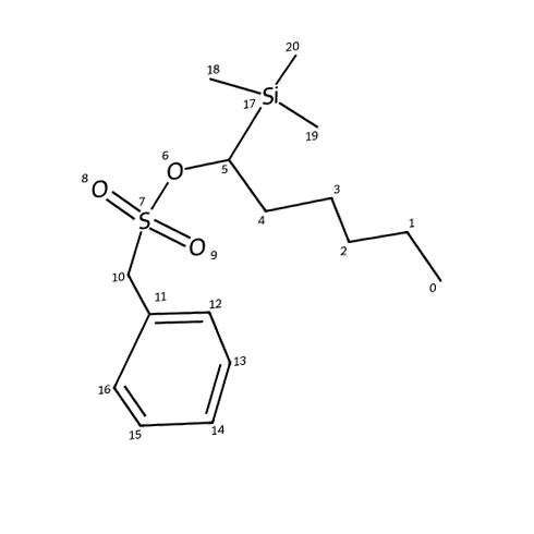 CCCCCC(OS(=O)(=O)Cc1ccccc1)[Si](C)(C)C